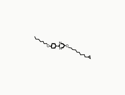 CCCCCCCOc1ccc(-c2ncc(OCCCCCCCCCC3CC3)cn2)cc1